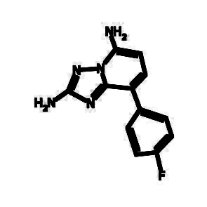 Nc1nc2c(-c3ccc(F)cc3)ccc(N)n2n1